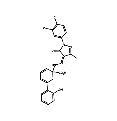 CC1=NN(c2ccc(Cl)c(Cl)c2)C(=O)C1=NNC1(C(=O)O)C=CC=C(c2ccccc2O)C1